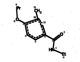 CCNC(=O)c1ccc(OC(C)C)c(C)c1